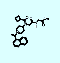 COC(=O)CNC(=O)CN(C(=O)C1CCC1)C1CCN(C(C)c2cccc3ccccc23)CC1